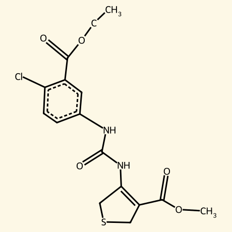 CCOC(=O)c1cc(NC(=O)NC2=C(C(=O)OC)CSC2)ccc1Cl